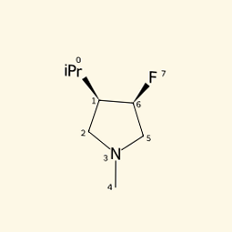 CC(C)[C@@H]1CN(C)C[C@@H]1F